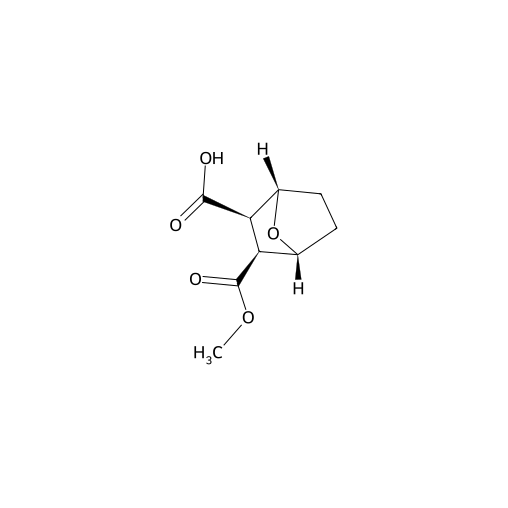 COC(=O)[C@H]1[C@@H](C(=O)O)[C@@H]2CC[C@H]1O2